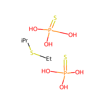 CCSC(C)C.OP(O)(O)=S.OP(O)(O)=S